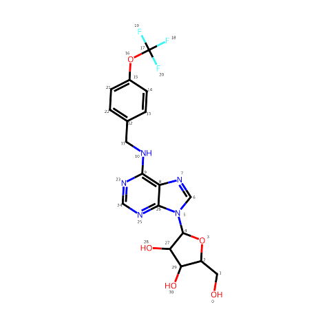 OCC1OC(n2cnc3c(NCc4ccc(OC(F)(F)F)cc4)ncnc32)C(O)C1O